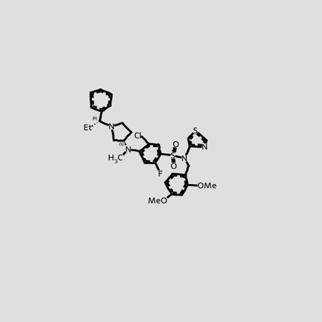 CC[C@H](c1ccccc1)N1CC[C@H](N(C)c2cc(F)c(S(=O)(=O)N(Cc3ccc(OC)cc3OC)c3cscn3)cc2Cl)C1